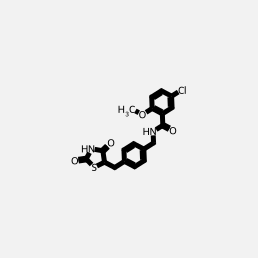 COc1ccc(Cl)cc1C(=O)NCc1ccc(CC2SC(=O)NC2=O)cc1